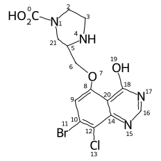 O=C(O)N1CCNC(COc2cc(Br)c(Cl)c3ncnc(O)c23)C1